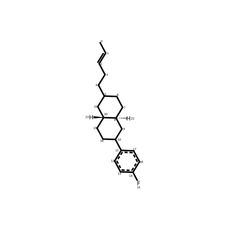 CC=CCCC1CC[C@H]2CC(c3ccc(F)cc3)CC[C@@H]2C1